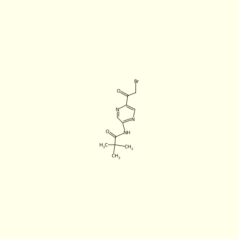 CC(C)(C)C(=O)Nc1cnc(C(=O)CBr)cn1